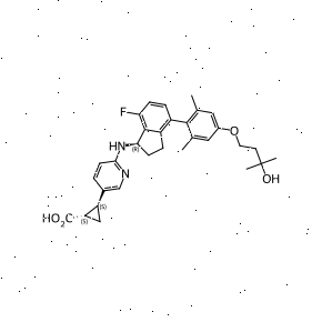 Cc1cc(OCCC(C)(C)O)cc(C)c1-c1ccc(F)c2c1CC[C@H]2Nc1ccc([C@H]2C[C@@H]2C(=O)O)cn1